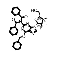 C[C@@H]1[C@@H](CO)O[C@@H](n2cnc3c(OCc4ccccc4)nc(N(C(=O)c4ccccc4)C(=O)c4ccccc4)nc32)[C@]1(C)F